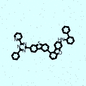 c1ccc(-c2nc(-c3ccc4c(c3)sc3ccc(-c5cccc6oc7cc(Nc8ccccc8-c8ccccc8)ccc7c56)cc34)nc(-c3ccccn3)n2)cc1